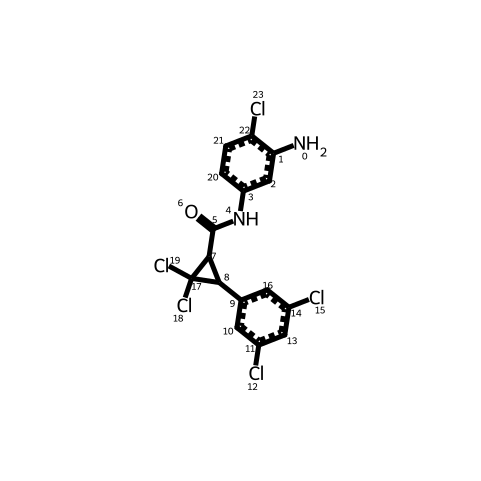 Nc1cc(NC(=O)C2C(c3cc(Cl)cc(Cl)c3)C2(Cl)Cl)ccc1Cl